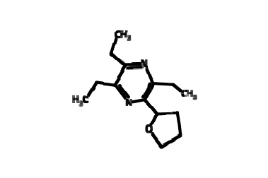 CCc1nc(CC)c(C2CCCO2)nc1CC